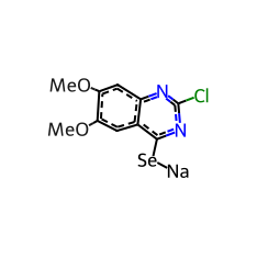 COc1cc2nc(Cl)nc([Se][Na])c2cc1OC